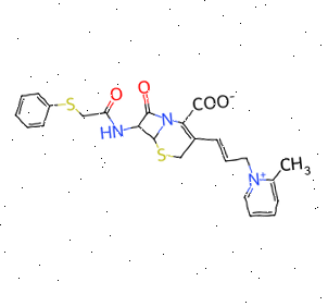 Cc1cccc[n+]1CC=CC1=C(C(=O)[O-])N2C(=O)C(NC(=O)CSc3ccccc3)C2SC1